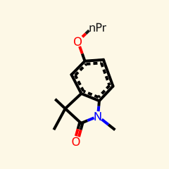 CCCOc1ccc2c(c1)C(C)(C)C(=O)N2C